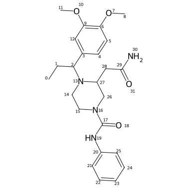 CCC(c1ccc(OC)c(OC)c1)N1CCN(C(=O)Nc2ccccc2)CC1CC(N)=O